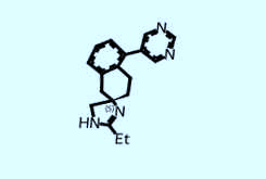 CCC1=N[C@]2(CCc3c(cccc3-c3cncnc3)C2)CN1